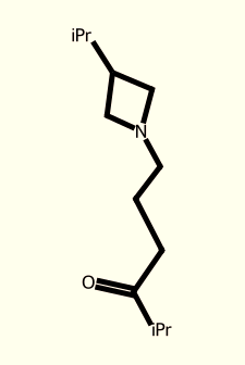 CC(C)C(=O)CCCN1CC(C(C)C)C1